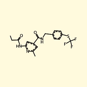 CCC(=O)Nc1cc(C(=O)NCc2ccc(SC(F)(F)F)cc2)cc(C)n1